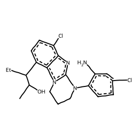 CCC(c1ccc(Cl)c2nc3n(c12)CCCN3c1ccc(Cl)cc1N)C(C)O